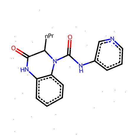 CCCC1C(=O)Nc2ccccc2N1C(=O)Nc1cccnc1